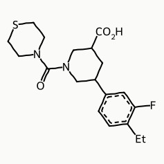 CCc1ccc(C2CC(C(=O)O)CN(C(=O)N3CCSCC3)C2)cc1F